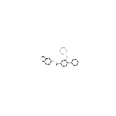 O=C(Nc1ccc2[nH]ncc2c1)c1ccc(-c2ccccc2)c(CN2CCCCC2)c1